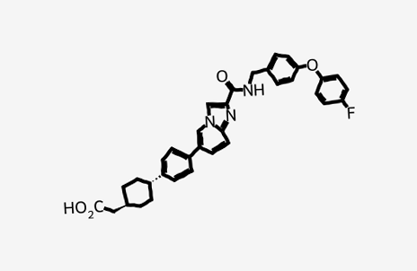 O=C(O)C[C@H]1CC[C@H](c2ccc(-c3ccc4nc(C(=O)NCc5ccc(Oc6ccc(F)cc6)cc5)cn4c3)cc2)CC1